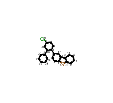 Clc1ccc(-c2ccc3sc4ccccc4c3c2)c(-c2ccccc2)c1